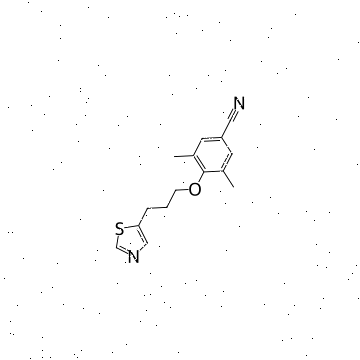 Cc1cc(C#N)cc(C)c1OCCCc1cncs1